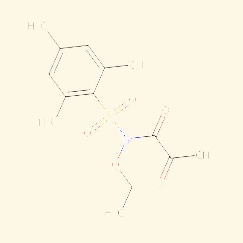 CCON(C(=O)C(C)=O)S(=O)(=O)c1c(C)cc(C)cc1C